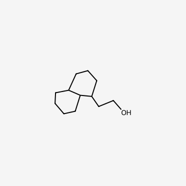 OCCC1CCCC2CCCCC12